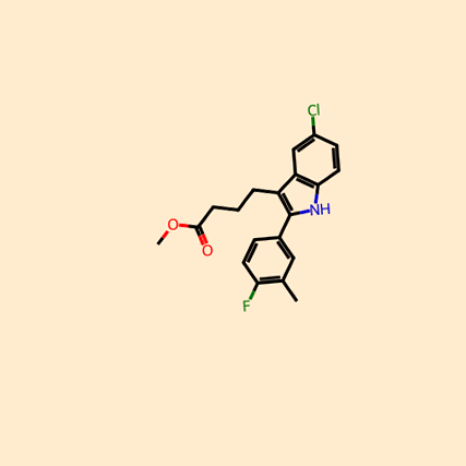 COC(=O)CCCc1c(-c2ccc(F)c(C)c2)[nH]c2ccc(Cl)cc12